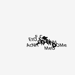 CCOC(=O)c1cc(-c2cnc(Nc3cc(OC)cc(OC)c3)nc2-n2nc(C(F)(F)F)cc2C)cnc1OCCNC(C)=O